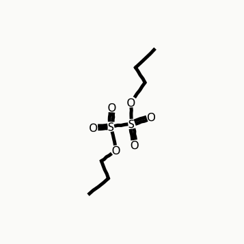 CCCOS(=O)(=O)S(=O)(=O)OCCC